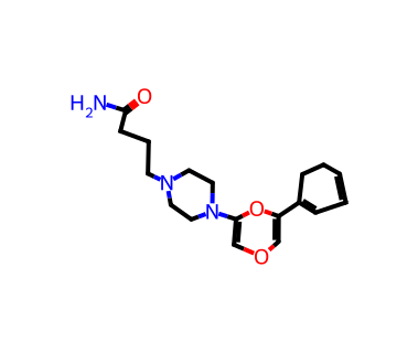 NC(=O)CCCN1CCN(C2=COC=C(C3=CC=CCC3)O2)CC1